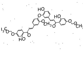 COCOc1ccc(C(=O)/C=C/c2ccc(O)c(Oc3ccc(/C=C/C(=O)c4ccc(OCOC)cc4O)cc3OC)c2)c(O)c1